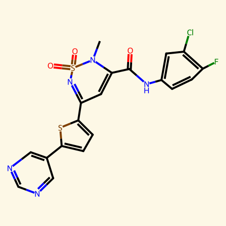 CN1C(C(=O)Nc2ccc(F)c(Cl)c2)=CC(c2ccc(-c3cncnc3)s2)=NS1(=O)=O